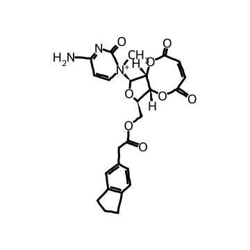 C[N+]1([C@@H]2O[C@H](COC(=O)Cc3ccc4c(c3)CCC4)[C@H]3OC(=O)/C=C\C(=O)O[C@H]32)C=CC(N)=NC1=O